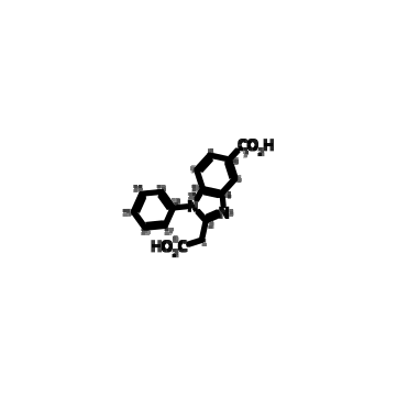 O=C(O)Cc1nc2cc(C(=O)O)ccc2n1-c1ccccc1